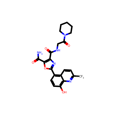 NC(=O)c1oc(-c2ccc(O)c3nc(C(F)(F)F)ccc23)nc1C(=O)NCC(=O)N1CCCCC1